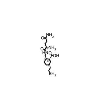 BCC[C@@H]1CC[C@@H](CNC(=O)[C@@H](N)CCC(N)=O)[C@@H](C(=O)O)C1